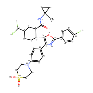 N#CC1(NC(=O)[C@@H]2CC(C(F)F)CC[C@H]2c2oc(-c3ccc(F)cc3)nc2-c2ccc(N3CCS(=O)(=O)CC3)cc2)CC1